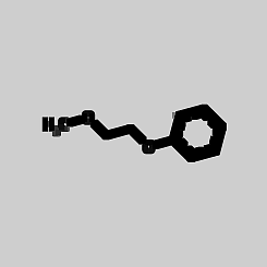 COCCOc1[c]cccc1